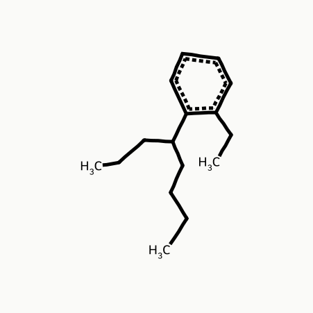 CCCCC(CCC)c1ccccc1CC